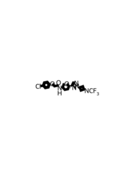 O=C(COc1ccc(Cl)cc1)N[C@H]1CC[C@H](c2cnn(C3CC(NC(F)(F)F)C3)n2)OC1